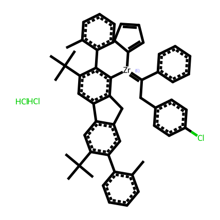 Cc1ccccc1-c1cc2c(cc1C(C)(C)C)-c1cc(C(C)(C)C)c(-c3ccccc3C)[c](/[Zr]([C]3=CC=CC3)=[C](\Cc3ccc(Cl)cc3)c3ccccc3)c1C2.Cl.Cl